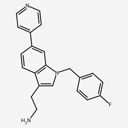 NCCc1cn(Cc2ccc(F)cc2)c2cc(-c3ccncc3)ccc12